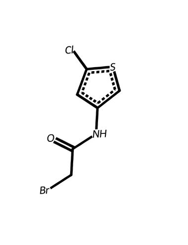 O=C(CBr)Nc1csc(Cl)c1